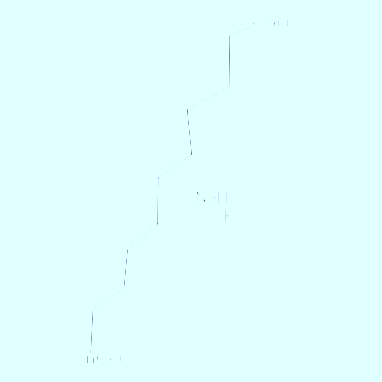 CCCCCCCCCCCCCCCCCC(=O)[O-].[K+].[NaH]